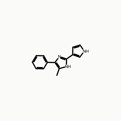 Cc1[nH]c(-c2cc[nH]c2)nc1-c1ccccc1